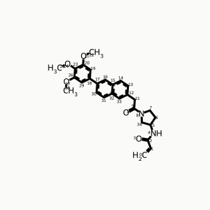 C=CC(=O)NC1CCN(C(=O)Cc2ccc3cc(-c4cc(OC)c(OC)c(OC)c4)ccc3c2)C1